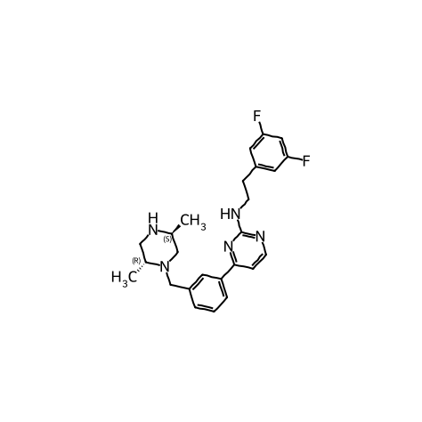 C[C@@H]1CN[C@@H](C)CN1Cc1cccc(-c2ccnc(NCCc3cc(F)cc(F)c3)n2)c1